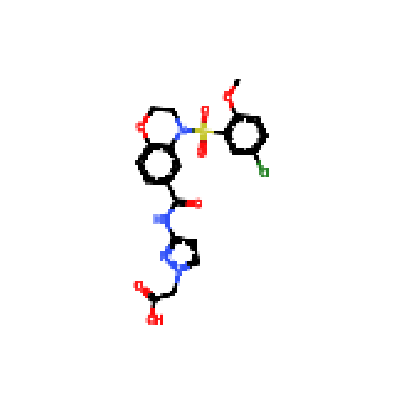 COc1ccc(Cl)cc1S(=O)(=O)N1CCOc2ccc(C(=O)Nc3ccn(CC(=O)O)n3)cc21